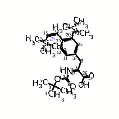 CC(C)(C)OC(=O)NC(Cc1ccc(/C=C\[Si](C)(C)C)c([Si](C)(C)C)c1)C(=O)O